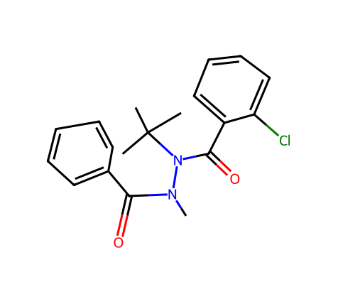 CN(C(=O)c1ccccc1)N(C(=O)c1ccccc1Cl)C(C)(C)C